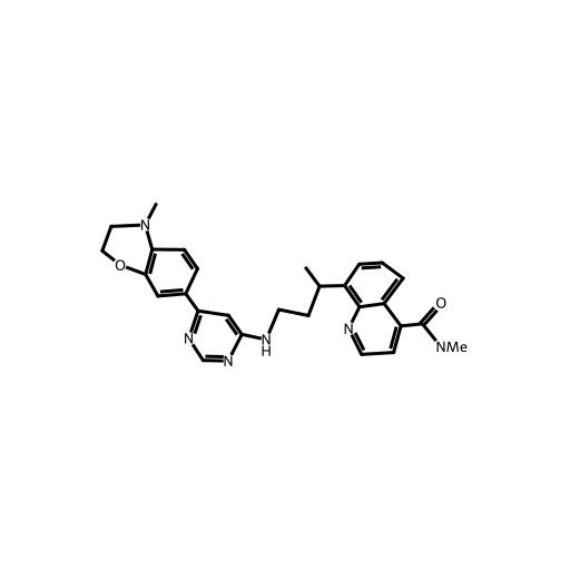 CNC(=O)c1ccnc2c(C(C)CCNc3cc(-c4ccc5c(c4)OCCN5C)ncn3)cccc12